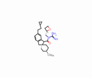 CO[C@H]1CC[C@]2(CC1)Cc1ccc(CCC3CC3)cc1C2C(=O)N(C[C@@H]1CCO1)C(=N)N